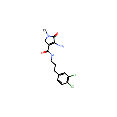 CCN1CC(C(=O)NCCCc2ccc(Cl)c(Cl)c2)=C(N)C1=O